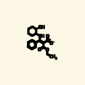 CCOC(=O)/C(=C(/N[C@H]1CCCC[C@@H]1O)c1ccccc1)[N+](=O)[O-]